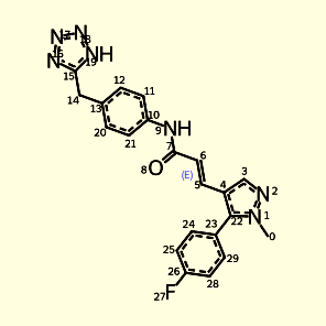 Cn1ncc(/C=C/C(=O)Nc2ccc(Cc3nnn[nH]3)cc2)c1-c1ccc(F)cc1